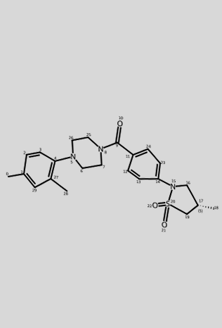 Cc1ccc(N2CCN(C(=O)c3ccc(N4C[C@H](C)CS4(=O)=O)cc3)CC2)c(C)c1